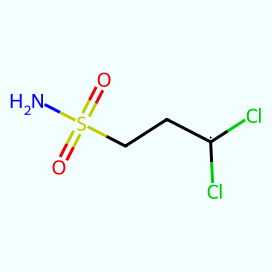 NS(=O)(=O)CC[C](Cl)Cl